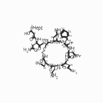 CCCCCCC[C@@H](O)CC(=O)N[C@H](CC(N)=O)C(=O)N[C@H]1CCNC(=O)[C@H](CC(C)C)NC(=O)[C@H](CCN)NC(=O)[C@H](CCN)NC(=O)[C@H](CC(C)C)NC(=O)[C@@H](Cc2ccccc2)NC(=O)[C@H](CCN)NC1=O